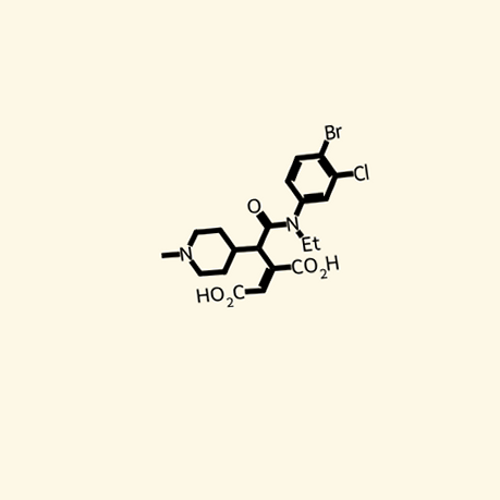 CCN(C(=O)C(/C(=C\C(=O)O)C(=O)O)C1CCN(C)CC1)c1ccc(Br)c(Cl)c1